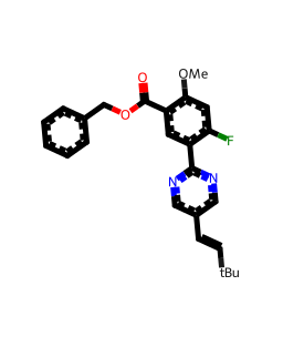 COc1cc(F)c(-c2ncc(/C=C/C(C)(C)C)cn2)cc1C(=O)OCc1ccccc1